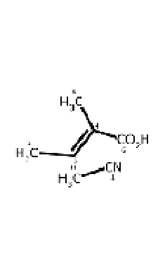 CC#N.CC=C(C)C(=O)O